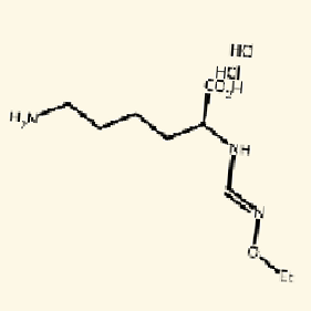 CCON=CN[C@@H](CCCCN)C(=O)O.Cl.Cl